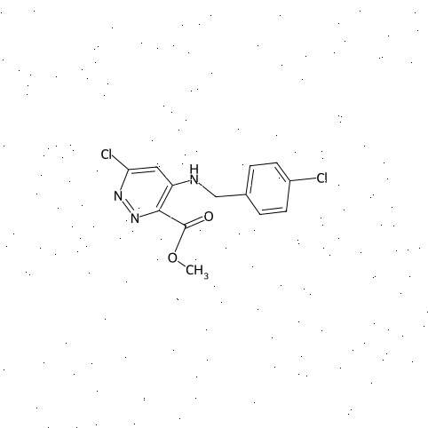 COC(=O)c1nnc(Cl)cc1NCc1ccc(Cl)cc1